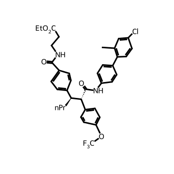 CCC[C@@H](c1ccc(C(=O)NCCC(=O)OCC)cc1)[C@H](C(=O)Nc1ccc(-c2ccc(Cl)cc2C)cc1)c1ccc(OC(F)(F)F)cc1